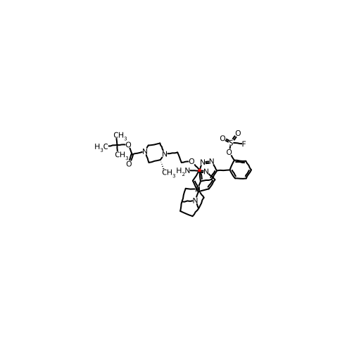 C[C@@H]1CN(C(=O)OC(C)(C)C)CCN1CCOc1cc(N2C3CCC2CN(c2cc(-c4ccccc4OS(=O)(=O)F)nnc2N)C3)ccn1